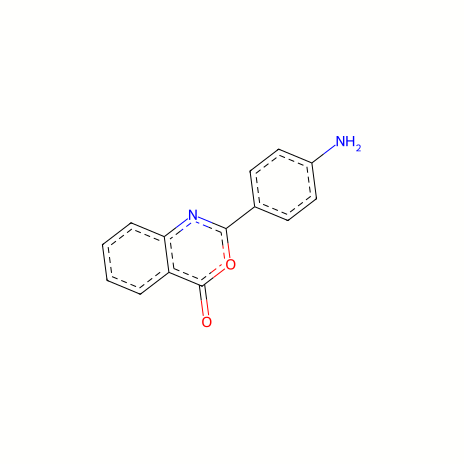 Nc1ccc(-c2nc3ccccc3c(=O)o2)cc1